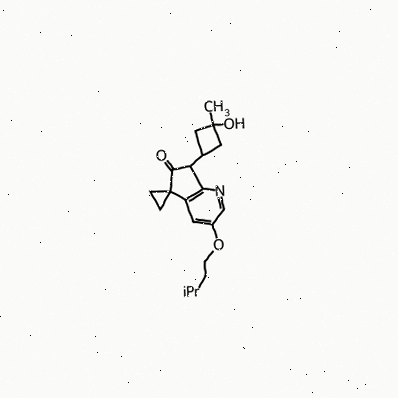 CC(C)CCOc1cnc2c(c1)C1(CC1)C(=O)C2C1CC(C)(O)C1